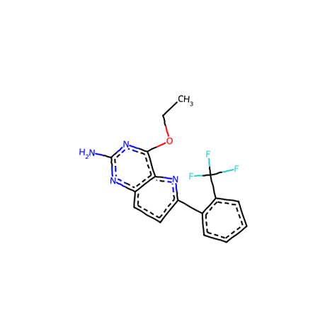 CCOc1nc(N)nc2ccc(-c3ccccc3C(F)(F)F)nc12